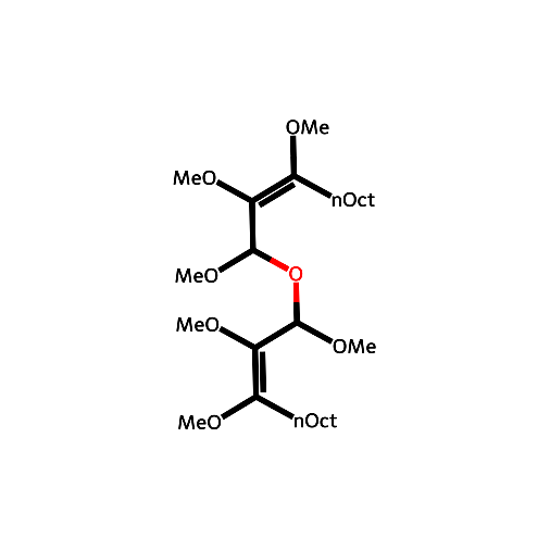 CCCCCCCCC(OC)=C(OC)C(OC)OC(OC)C(OC)=C(CCCCCCCC)OC